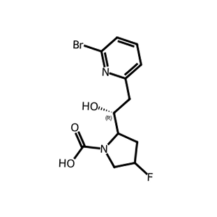 O=C(O)N1CC(F)CC1[C@H](O)Cc1cccc(Br)n1